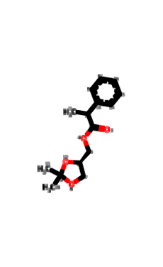 CC(C(=O)OC[C@H]1COC(C)(C)O1)c1ccccc1